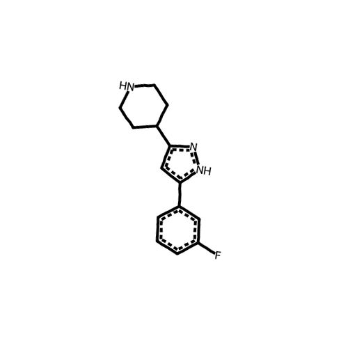 Fc1cccc(-c2cc(C3CCNCC3)n[nH]2)c1